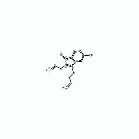 C=CCCn1c2cc(Cl)ccc2c(=O)n1CC=C